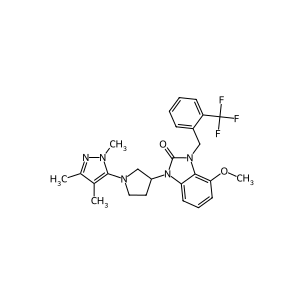 COc1cccc2c1n(Cc1ccccc1C(F)(F)F)c(=O)n2C1CCN(c2c(C)c(C)nn2C)C1